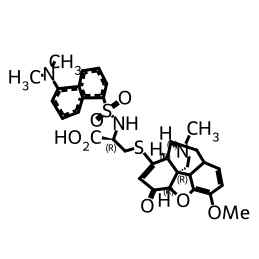 COC1=C2O[C@H]3C(=O)C=C(SC[C@H](NS(=O)(=O)c4cccc5c(N(C)C)cccc45)C(=O)O)[C@H]4[C@H]5CC(C=C1)C2[C@@]34CCN5C